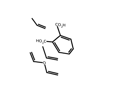 C=CC.C=CC.C=COC=C.O=C(O)c1ccccc1C(=O)O